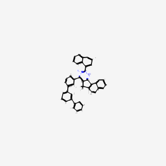 CC1(C)c2ccc3ccccc3c2-c2nc(-c3cccc4ccccc34)nc(-c3cccc(-c4cccc(-c5ccccc5)c4)c3)c21